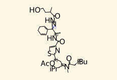 CC[C@H](C)CC(=O)N(C)[C@H](C[C@@H](OC(C)=O)c1nc(C(=O)N[C@H](C)/C(=N/NC(=O)C(C)CCO)C2=CCCC=C2)cs1)C(C)C